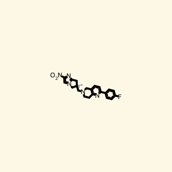 C[C@@]1(CN2CCc3nc(-c4ccc(F)cc4)ccc3C2)Cc2nc([N+](=O)[O-])cn2C1